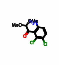 COC(OC)C(=O)c1c(N)ccc(Cl)c1Cl